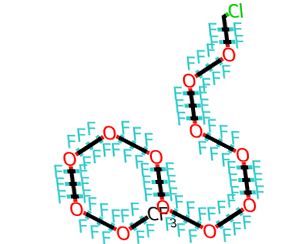 FC(F)(F)C(F)(F)C(F)(F)OC(F)(F)C(F)(F)C(F)(F)OC(F)(F)C(F)(F)C(F)(F)OC(F)(F)C(F)(F)C(F)(F)OC(F)(F)C(F)(F)C(F)(F)OC(F)(F)C(F)(F)C(F)(F)OC(F)(F)C(F)(F)C(F)(F)OC(F)(F)C(F)(F)C(F)(F)OC(F)(F)C(F)(F)C(F)(F)OC(F)(F)C(F)(F)C(F)(F)OC(F)(F)C(F)(F)C(F)(F)OC(F)(F)C(F)(F)C(F)(F)OC(F)(F)C(F)(F)CCl